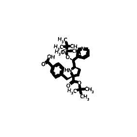 CC(C)(C)OC(=O)[C@@]1(Cc2ccc(C(=O)O)cc2)CC[C@H]([C@H](O[Si](C)(C)C(C)(C)C)c2cccnc2)N1